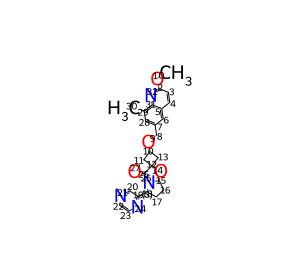 COc1ccc2cc(COC3CC4(C3)OC3CC[C@@H](c5cnccn5)N3C4=O)cc(C)c2n1